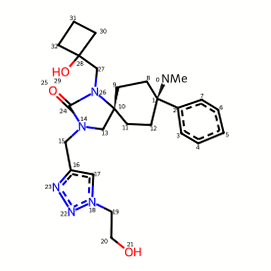 CN[C@]1(c2ccccc2)CC[C@@]2(CC1)CN(Cc1cn(CCO)nn1)C(=O)N2CC1(O)CCC1